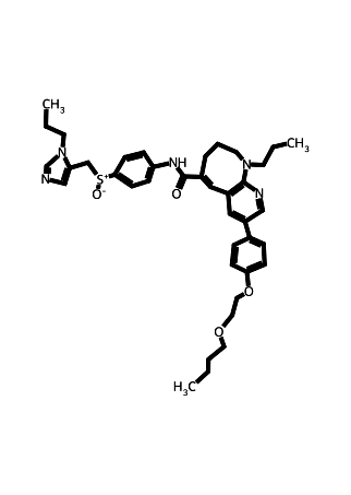 CCCCOCCOc1ccc(-c2cnc3c(c2)/C=C(/C(=O)Nc2ccc([S+]([O-])Cc4cncn4CCC)cc2)CCCN3CCC)cc1